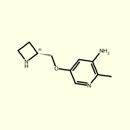 Cc1ncc(OC[C@H]2CCN2)cc1N